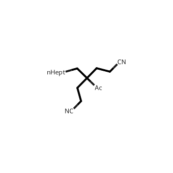 CCCCCCCCC(CCC#N)(CCC#N)C(C)=O